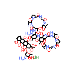 COc1cccc2c1C(=O)c1c(O)c3c(c(O)c1C2=O)C[C@@](O)(C(C)=O)C[C@@H]3OC1CC(N)C(O)C(C)O1.Cc1c2oc3c(C)ccc(C(=O)NC4C(=O)NC(C(C)C)C(=O)N5CCCC5C(=O)N(C)CC(=O)N(C)C(C(C)C)C(=O)OC4C)c3nc-2c(C(=O)NC2C(=O)NC(C(C)C)C(=O)N3CCCC3C(=O)N(C)CC(=O)N(C)C(C(C)C)C(=O)OC2C)c(N)c1=O.Cl